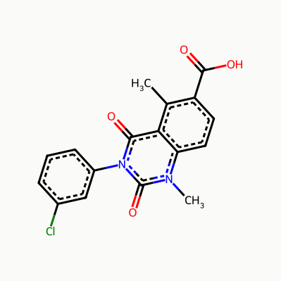 Cc1c(C(=O)O)ccc2c1c(=O)n(-c1cccc(Cl)c1)c(=O)n2C